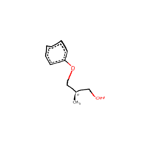 C[C@H](CO)COc1ccccc1